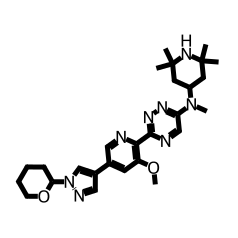 COc1cc(-c2cnn(C3CCCCO3)c2)cnc1-c1ncc(N(C)C2CC(C)(C)NC(C)(C)C2)nn1